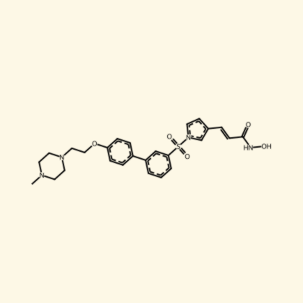 CN1CCN(CCOc2ccc(-c3cccc(S(=O)(=O)n4ccc(C=CC(=O)NO)c4)c3)cc2)CC1